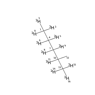 [2H]C([2H])([2H])C([2H])([2H])C([2H])([2H])C([2H])(C)C([2H])([2H])[2H]